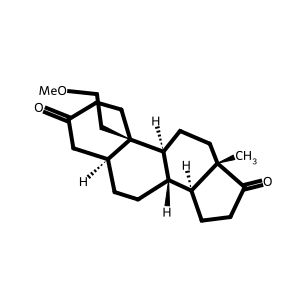 COCC[C@]12CCC(=O)C[C@@H]1CC[C@@H]1[C@@H]2CC[C@]2(C)C(=O)CC[C@@H]12